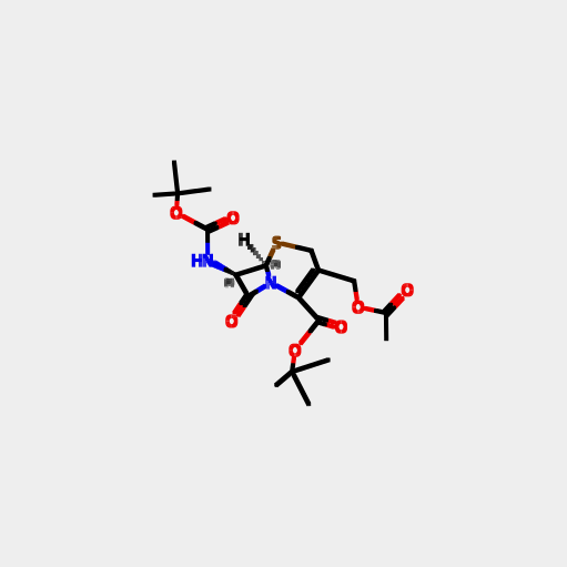 CC(=O)OCC1=C(C(=O)OC(C)(C)C)N2C(=O)[C@@H](NC(=O)OC(C)(C)C)[C@H]2SC1